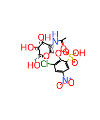 CC(=O)N[C@H]1[C@H](Oc2c(Cl)cc([N+](=O)[O-])cc2S(=O)(=O)O)O[C@H](CO)[C@@H](O)[C@@H]1O